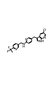 FC(F)(I)c1ccc(CNc2ccc(Cc3c[nH]c4ncc(Cl)cc34)cn2)cn1